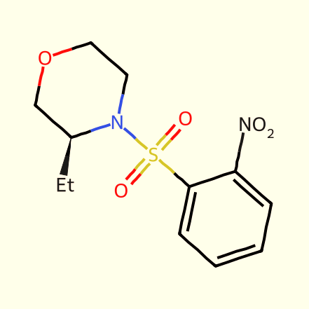 CC[C@H]1COCCN1S(=O)(=O)c1ccccc1[N+](=O)[O-]